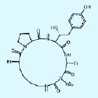 CCCCN1C(=O)NCCCCC(CC)C(=O)N2CCCC2C(=O)NC([C@H](O)Cc2ccc(O)cc2)C(=O)NC(CC)C1=O